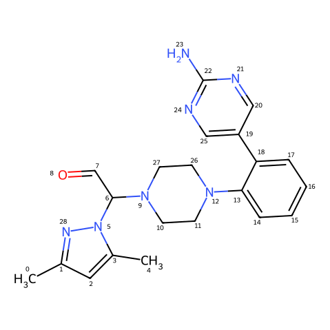 Cc1cc(C)n(C(C=O)N2CCN(c3ccccc3-c3cnc(N)nc3)CC2)n1